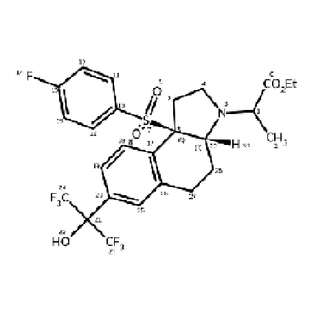 CCOC(=O)C(C)N1CC[C@@]2(S(=O)(=O)c3ccc(F)cc3)c3ccc(C(O)(C(F)(F)F)C(F)(F)F)cc3CC[C@@H]12